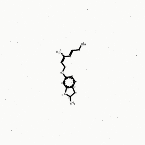 CC(C=CCC(C)(C)C)=CCOc1ccc2c(c1)OC(C)C2